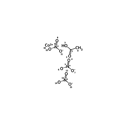 CC(=O)O.O=[N+]([O-])[O-].O=[N+]([O-])[O-].O=[N+]([O-])[O-].[Co+3]